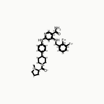 CN1CCC[C@@H]1C(=O)N1CCC(c2ccc(Nc3cc(NCc4cccc(F)c4F)c(C(N)=O)cn3)cc2)CC1